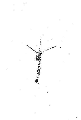 CCCCCCCCCCCCCCCCCCOc1cc(CN/C=C(/COCCOCCOCCOCCOCCOCCOCCOCCP(C)(=O)OCC)N=N)cc(OCCCCCCCCCCCCCCCCCC)c1OCCCCCCCCCCCCCCCCCC